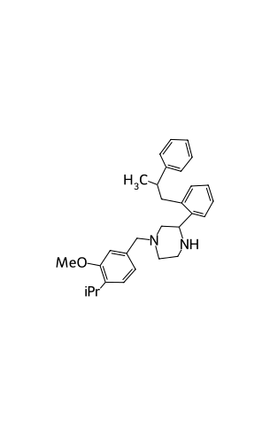 COc1cc(CN2CCNC(c3ccccc3CC(C)c3ccccc3)C2)ccc1C(C)C